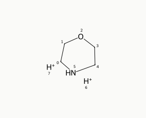 C1COCCN1.[H+].[H+]